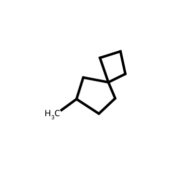 CC1CCC2(CCC2)C1